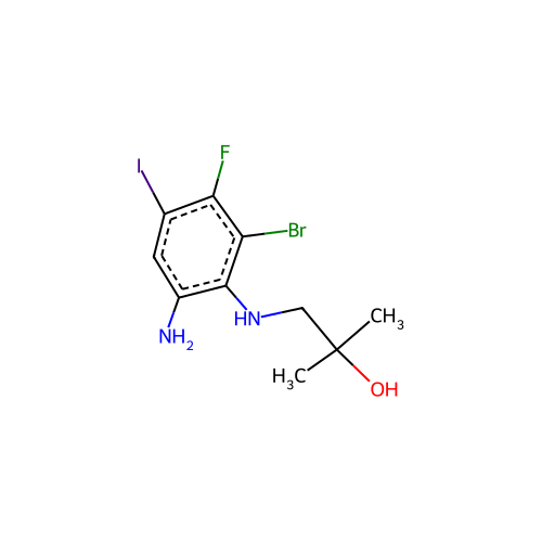 CC(C)(O)CNc1c(N)cc(I)c(F)c1Br